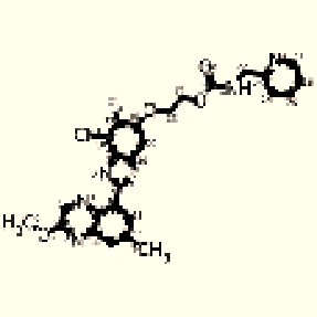 COc1cnc2c(-c3nc4c(Cl)c(F)c(OCCOC(=O)NCc5ccccn5)cc4s3)cc(C)cc2n1